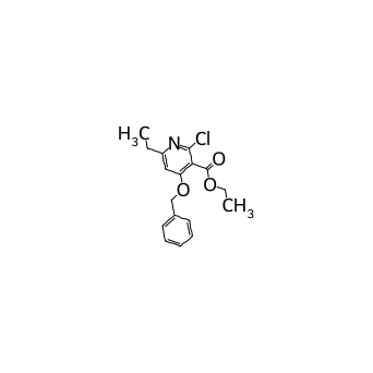 CCOC(=O)c1c(OCc2ccccc2)cc(CC)nc1Cl